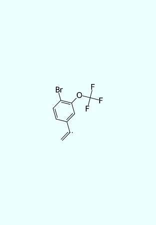 C=[C]c1ccc(Br)c(OC(F)(F)F)c1